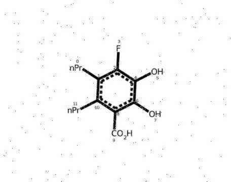 CCCc1c(F)c(O)c(O)c(C(=O)O)c1CCC